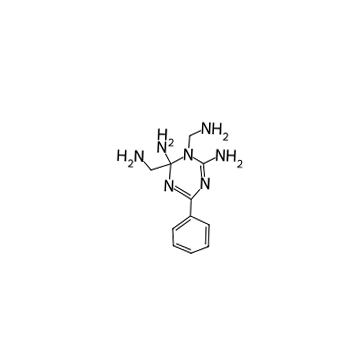 NCN1C(N)=NC(c2ccccc2)=NC1(N)CN